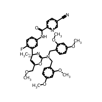 COCC1=C[C@@](C)(c2cc(NC(=O)c3ccc(C#N)cn3)ccc2F)N=C(N(Cc2ccc(OC)cc2OC)Cc2ccc(OC)cc2OC)O1